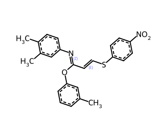 Cc1cccc(OC(/C=C/Sc2ccc([N+](=O)[O-])cc2)=N\c2ccc(C)c(C)c2)c1